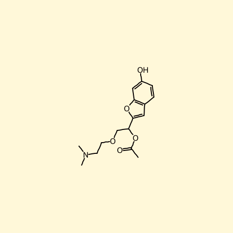 CC(=O)OC(COCCN(C)C)c1cc2ccc(O)cc2o1